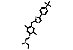 CCN(C)/C=N/c1cc(C)c(Cc2nc(-c3ccc(C(C)(C)C)cc3)cs2)cc1C